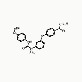 CCCCOc1ccc(NC(=O)N(CCCC)c2cccc(Sc3ccc(C(CC)C(=O)O)cc3)c2)cc1